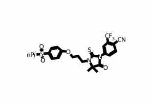 CCCS(=O)(=O)c1ccc(OCCCN2C(=S)N(c3ccc(C#N)c(C(F)(F)F)c3)C(=O)C2(C)C)cc1